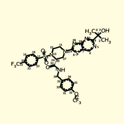 CC(C)(O)c1ncc2sc(N3CCN(S(=O)(=O)c4ccc(C(F)(F)F)cc4)[C@@H](C(=O)NCc4ccc(OC(F)(F)F)cc4)C3)nc2n1